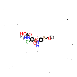 CCOCCSc1ccc(NS(=O)(=O)c2ccc(NC(=O)[C@@](C)(O)C(F)(F)F)c(Cl)c2)cc1